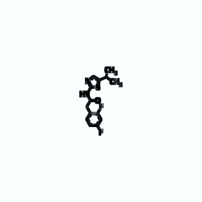 CC(C)c1cnc(NC(=O)Cc2ccc(F)cc2F)s1